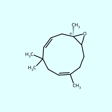 CC1=CCC(C)(C)C=CC[C@@]2(C)OC2CC1